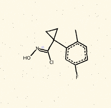 Cc1ccc(F)cc1C1(/C(Cl)=N/O)CC1